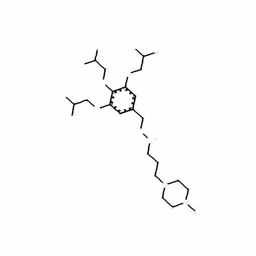 CCCCC(CC)COc1cc(COOCCCN2CCN(C)CC2)cc(OCC(CC)CCCC)c1OCC(CC)CCCC